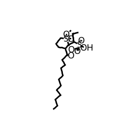 CCCCCCCCCCCC(=O)C1CCC[Si](OC)(OC)C1(OC)C(CC)S(=O)(=O)O